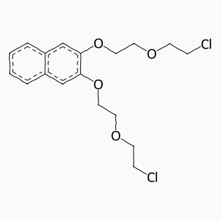 ClCCOCCOc1cc2ccccc2cc1OCCOCCCl